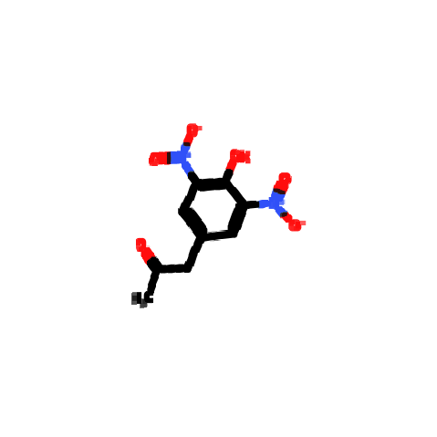 CC(=O)Cc1cc([N+](=O)[O-])c(O)c([N+](=O)[O-])c1